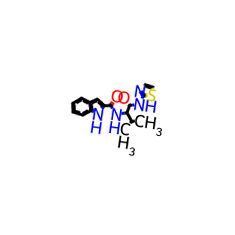 CC(C)C(NC(=O)c1cc2ccccc2[nH]1)C(=O)Nc1nccs1